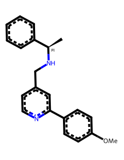 COc1ccc(-c2cc(CN[C@H](C)c3ccccc3)ccn2)cc1